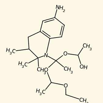 CCOC(C)OC(C)(OC(C)O)N1c2ccc(N)cc2CC(C)C1(C)C